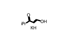 CC(C)C(=O)C=CO.[KH]